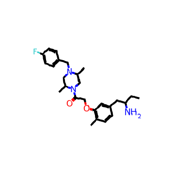 CCC(N)Cc1ccc(C)c(OCC(=O)N2CC(C)N(Cc3ccc(F)cc3)CC2C)c1